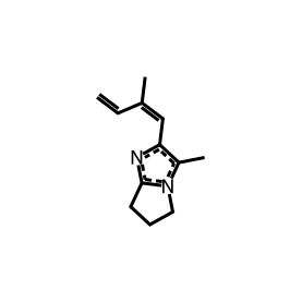 C=C/C(C)=C\c1nc2n(c1C)CCC2